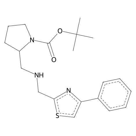 CC(C)(C)OC(=O)N1CCCC1CNCc1nc(-c2ccccc2)cs1